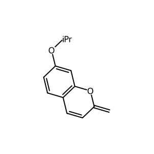 C=C1C=Cc2ccc(OC(C)C)cc2O1